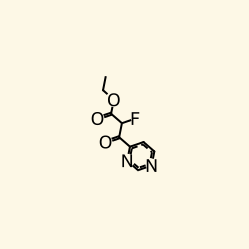 CCOC(=O)C(F)C(=O)c1ccncn1